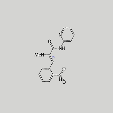 CN/C(=C\c1ccccc1[SH](=O)=O)C(=O)Nc1ccccn1